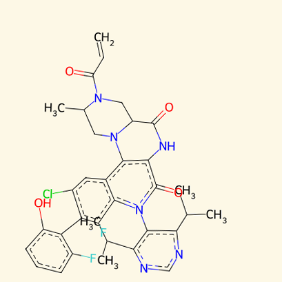 C=CC(=O)N1CC2C(=O)Nc3c(c4cc(Cl)c(-c5c(O)cccc5F)c(F)c4n(-c4c(C(C)C)ncnc4C(C)C)c3=O)N2CC1C